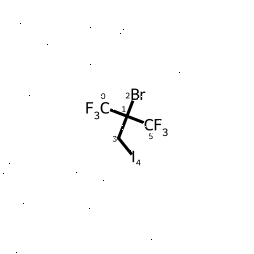 FC(F)(F)C(Br)(CI)C(F)(F)F